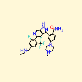 CCNCc1cc(F)c(-c2cc3c(-c4cc(N5CCN(C)CC5)ccc4C(N)=O)n[nH]c3cn2)c(C(F)(F)F)c1